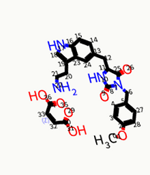 COc1ccc(CN2C(=O)NC(Cc3ccc4[nH]cc(CCN)c4c3)C2=O)cc1.O=C(O)/C=C\C(=O)O